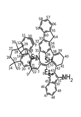 CC/C1=C(\C=C(\C)CSc2c#cccc2C)N(c2cc3c(cc2C)C(C)(C)CCC3(C)C)c2cc3c(c(c2S)C2=CCCC(c4sc5ccccc5c4N)=C21)Cc1ccccc1-3